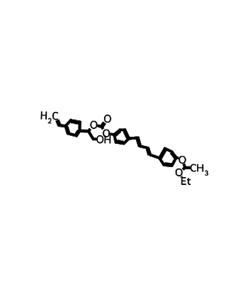 C=Cc1ccc(C(CO)OC(=O)Oc2ccc(C=CC=Cc3ccc(OC(C)OCC)cc3)cc2)cc1